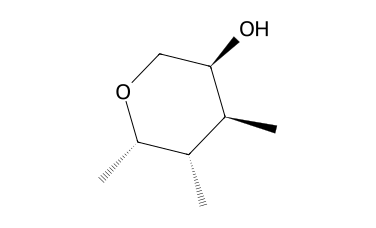 C[C@H]1[C@H](C)[C@H](C)OC[C@H]1O